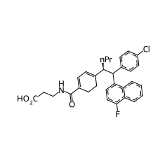 CCC[C@H](C1=CC=C(C(=O)NCCC(=O)O)CC1)C(c1ccc(Cl)cc1)c1ccc(F)c2ccccc12